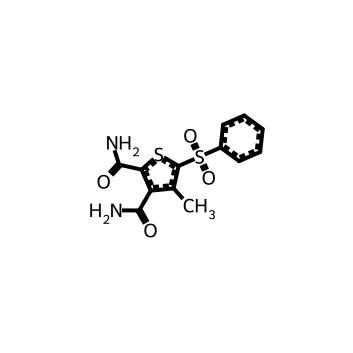 Cc1c(S(=O)(=O)c2ccccc2)sc(C(N)=O)c1C(N)=O